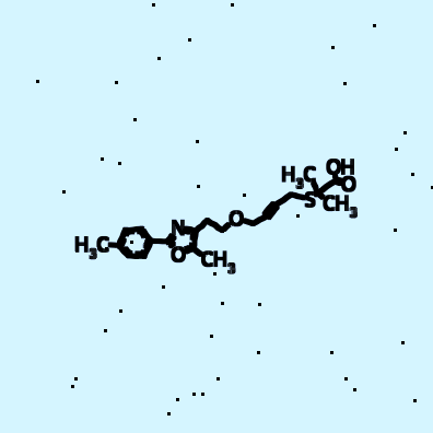 Cc1ccc(-c2nc(CCOCC#CCSC(C)(C)C(=O)O)c(C)o2)cc1